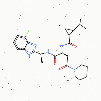 CC(C)C1CC1C(=O)N[C@@H](CC(=O)N1CCCC[C@@H]1C)C(=O)N[C@@H](C)c1nc2c(F)cccc2[nH]1